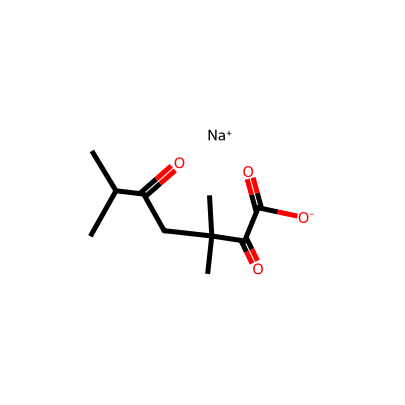 CC(C)C(=O)CC(C)(C)C(=O)C(=O)[O-].[Na+]